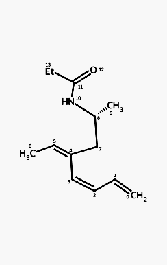 C=C/C=C\C(=C/C)C[C@@H](C)NC(=O)CC